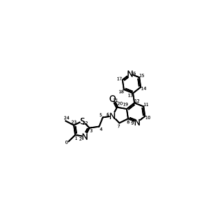 Cc1nc(CCN2Cc3nccc(-c4ccncc4)c3C2=O)sc1C